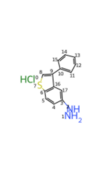 Cl.NNc1ccc2scc(-c3ccccc3)c2c1